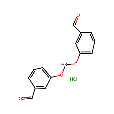 Cl.O=Cc1cccc(OBOc2cccc(C=O)c2)c1